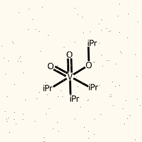 CC(C)[O][V](=[O])(=[O])([CH](C)C)([CH](C)C)[CH](C)C